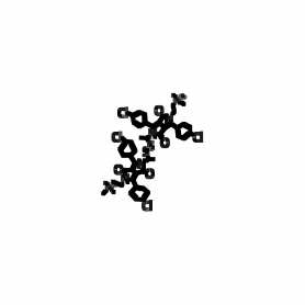 CC(SSC(C)N1C(=O)C2=C(c3ccc(Cl)cc3)N(CC[N+](C)(C)C)C(=O)C2=C1c1ccc(Cl)cc1)N1C(=O)C2=C(c3ccc(Cl)cc3)N(CC[N+](C)(C)C)C(=O)C2=C1c1ccc(Cl)cc1